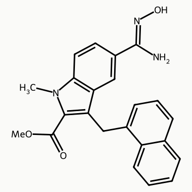 COC(=O)c1c(Cc2cccc3ccccc23)c2cc(/C(N)=N/O)ccc2n1C